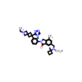 Cn1cnnc1C1(c2cccc(N3Cc4c(cc(CN(C(=O)O)C5(C)CCC5)cc4C(F)(F)F)C3=O)c2)CC2(CN(CC(F)(F)F)C2)C1